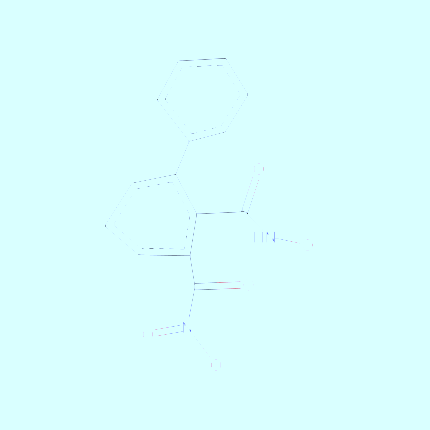 O=C(NO)c1c(C(=O)[N+](=O)[O-])cccc1-c1ccccc1